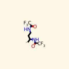 [CH2]C(CCNC(=O)C(F)(F)F)NC(=O)C(F)(F)F